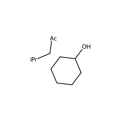 CC(=O)CC(C)C.OC1CCCCC1